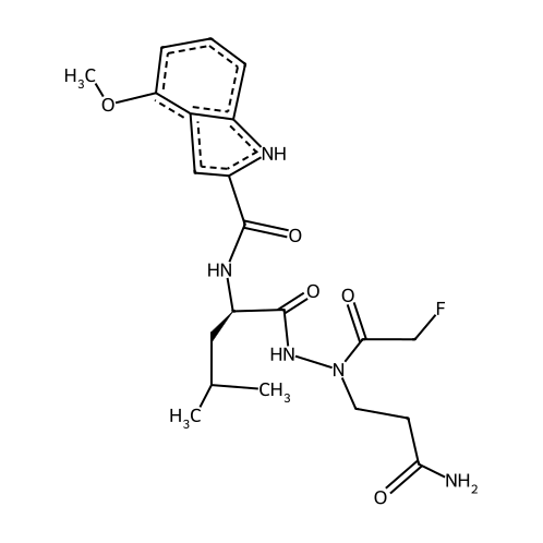 COc1cccc2[nH]c(C(=O)N[C@H](CC(C)C)C(=O)NN(CCC(N)=O)C(=O)CF)cc12